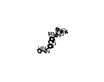 CC(C)(C)OC(=O)N1CCC[C@@H]1c1ncc(-c2cc3c(cc2F)Cc2cc(-c4ncc(C5CCCC5)[nH]4)ccc2O3)[nH]1